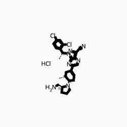 C[C@@H]1CC(c2cnc3c(C#N)nn([C@H](C)c4ccc(Cl)cc4Cl)c3n2)=CC[C@@H]1N1CCC[C@H]1CN.Cl